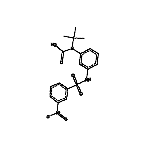 CC(C)(C)N(C(=O)O)c1cccc(NS(=O)(=O)c2cccc([N+](=O)[O-])c2)c1